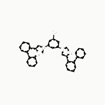 [C-]#[N+]c1cc(-n2cc3c4ccccc4c4ccccc4[n+]3c2)cc(-n2cc3c4ccccc4c4ccccc4[n+]3c2)c1